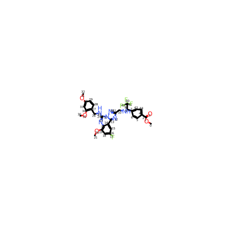 COC(=O)c1ccc(C(NCc2nc3c4cc(F)cc(OC)c4nc(NCc4ccc(OC)cc4OC)n3n2)C(F)(F)F)cc1